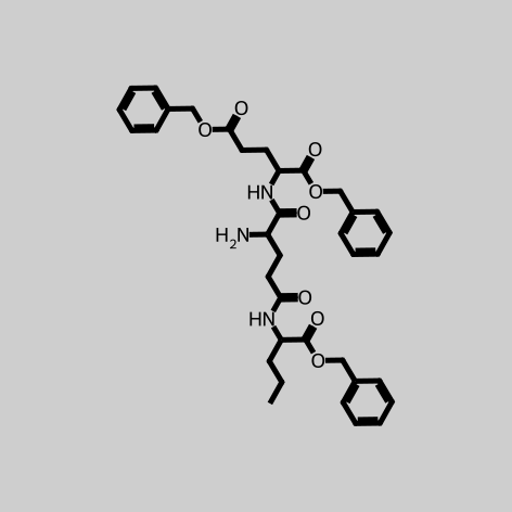 CCCC(NC(=O)CCC(N)C(=O)NC(CCC(=O)OCc1ccccc1)C(=O)OCc1ccccc1)C(=O)OCc1ccccc1